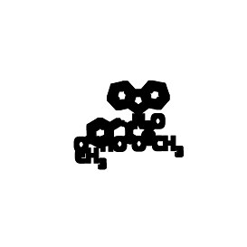 COC(=O)N(C1c2ccccc2-c2ccccc21)[C@@H](Cc1ccc(OC)cc1)C(=O)O